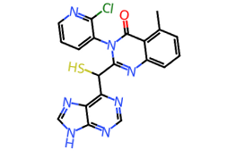 Cc1cccc2nc(C(S)c3ncnc4[nH]cnc34)n(-c3cccnc3Cl)c(=O)c12